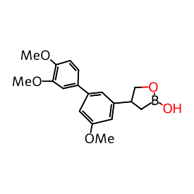 COc1cc(-c2ccc(OC)c(OC)c2)cc(C2COB(O)C2)c1